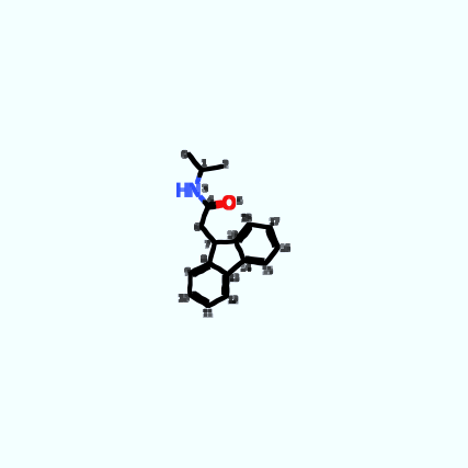 CC(C)NC(=O)CC1c2ccccc2-c2ccccc21